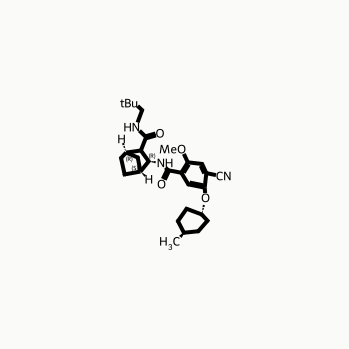 COc1cc(C#N)c(O[C@H]2CC[C@H](C)CC2)cc1C(=O)N[C@H]1C(C(=O)NCC(C)(C)C)[C@@H]2CC[C@H]1C2